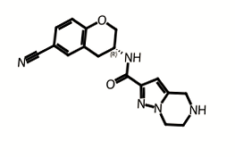 N#Cc1ccc2c(c1)C[C@@H](NC(=O)c1cc3n(n1)CCNC3)CO2